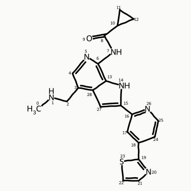 CNCc1cnc(NC(=O)C2CC2)c2[nH]c(-c3cc(-c4nccs4)ccn3)cc12